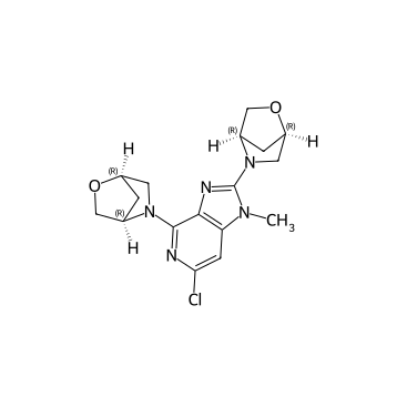 Cn1c(N2C[C@H]3C[C@@H]2CO3)nc2c(N3C[C@H]4C[C@@H]3CO4)nc(Cl)cc21